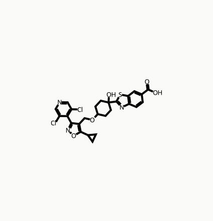 O=C(O)c1ccc2nc(C3(O)CCC(OCc4c(-c5c(Cl)cncc5Cl)noc4C4CC4)CC3)sc2c1